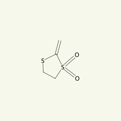 C=C1SCCS1(=O)=O